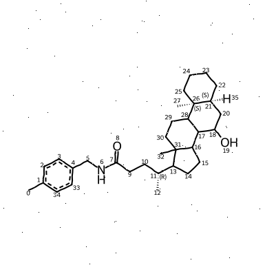 Cc1ccc(CNC(=O)CC[C@@H](C)C2CCC3C4C(O)C[C@@H]5CCCC[C@]5(C)C4CCC32C)cc1